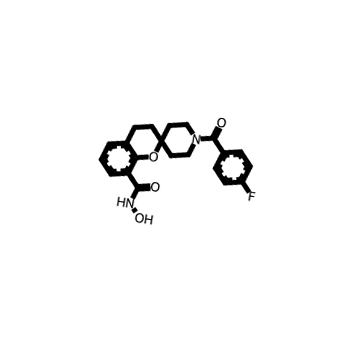 O=C(NO)c1cccc2c1OC1(CC2)CCN(C(=O)c2ccc(F)cc2)CC1